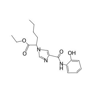 CCCCC(C(=O)OCC)n1cnc(C(=O)Nc2ccccc2O)c1